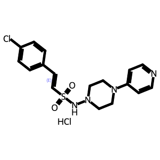 Cl.O=S(=O)(/C=C/c1ccc(Cl)cc1)NN1CCN(c2ccncc2)CC1